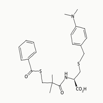 CN(C)c1ccc(CSC[C@H](NC(=O)C(C)(C)CSC(=O)c2ccccc2)C(=O)O)cc1